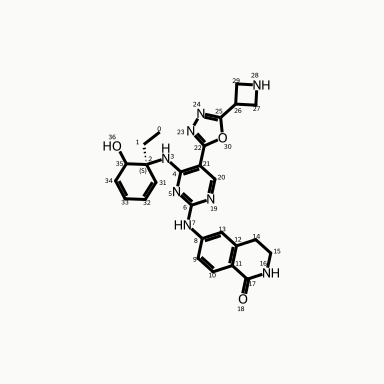 CC[C@]1(Nc2nc(Nc3ccc4c(c3)CCNC4=O)ncc2-c2nnc(C3CNC3)o2)C=CC=CC1O